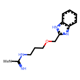 CNC(=N)NCCCOCc1nc2ccccc2[nH]1